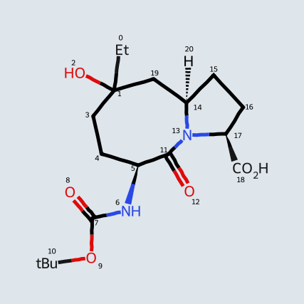 CCC1(O)CC[C@H](NC(=O)OC(C)(C)C)C(=O)N2[C@H](CC[C@H]2C(=O)O)C1